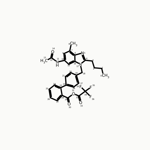 CCCCc1nc2c(C)cc(NC(C)=O)cc2n1Cc1ccc(-c2ccccc2C(=O)OC(=O)C(F)(F)F)cc1